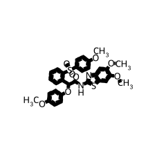 COc1ccc(OC(C(=O)Nc2nc3cc(OC)c(OC)cc3s2)c2ccccc2S(=O)(=O)c2ccc(OC)cc2)cc1